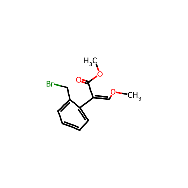 CO/C=C(\C(=O)OC)c1ccccc1CBr